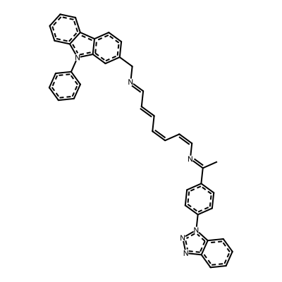 C\C(=N/C=C\C=C/C=C/C=N/Cc1ccc2c3ccccc3n(-c3ccccc3)c2c1)c1ccc(-n2nnc3ccccc32)cc1